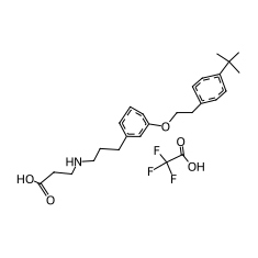 CC(C)(C)c1ccc(CCOc2cccc(CCCNCCC(=O)O)c2)cc1.O=C(O)C(F)(F)F